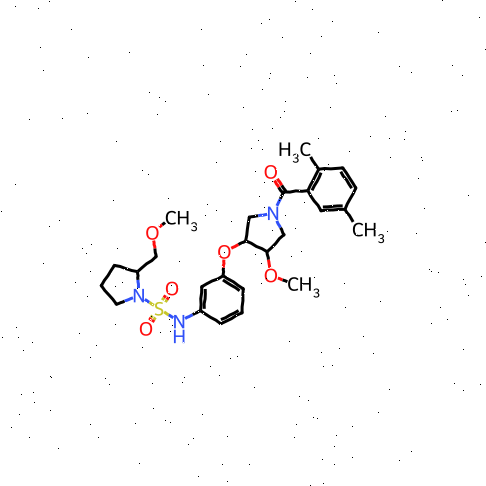 COCC1CCCN1S(=O)(=O)Nc1cccc(OC2CN(C(=O)c3cc(C)ccc3C)CC2OC)c1